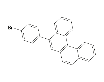 Brc1ccc(-c2cc3ccc4ccccc4c3c3ccccc23)cc1